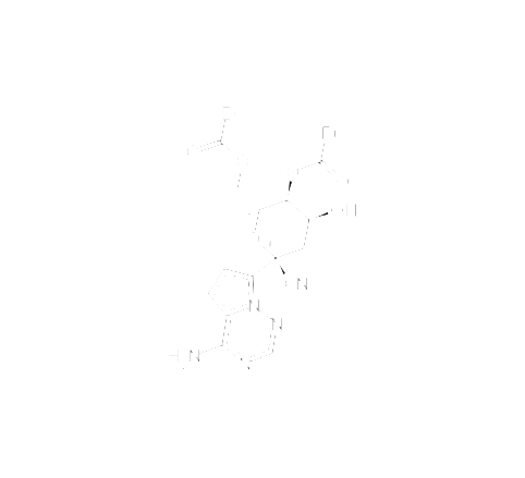 CCC(=O)OC[C@H]1O[C@@](C#N)(c2ccc3c(N)ncnn23)C[C@H](O)[C@@H]1OC(=O)CC